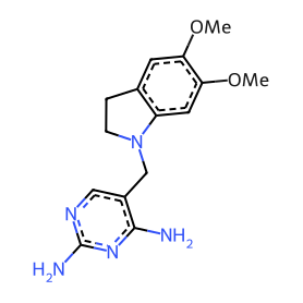 COc1cc2c(cc1OC)N(Cc1cnc(N)nc1N)CC2